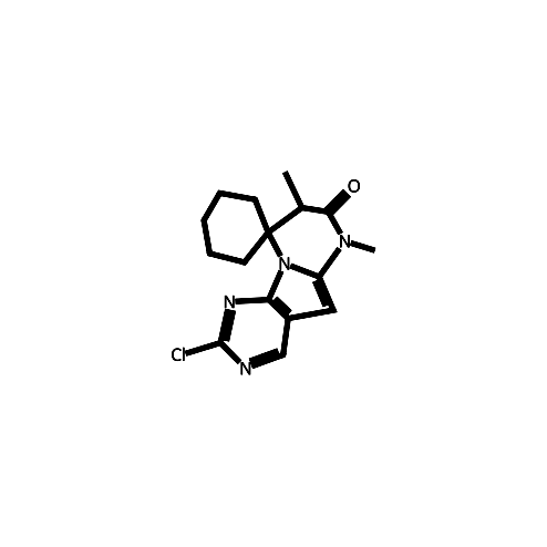 CC1C(=O)N(C)c2cc3cnc(Cl)nc3n2C12CCCCC2